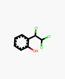 Oc1ccccc1C(Cl)C(Cl)Cl